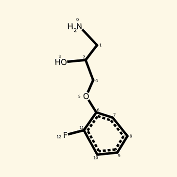 NCC(O)COc1ccccc1F